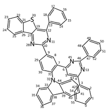 c1ccc(-c2cc(-c3cc(-c4nc(-c5ccccc5)c5sc6ccccc6c5n4)ccc3-n3c4ccccc4c4ccccc43)nc(-c3ccccc3)n2)cc1